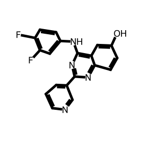 Oc1ccc2nc(-c3cccnc3)nc(Nc3ccc(F)c(F)c3)c2c1